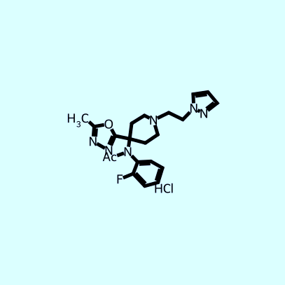 CC(=O)N(c1ccccc1F)C1(c2nnc(C)o2)CCN(CCn2cccn2)CC1.Cl